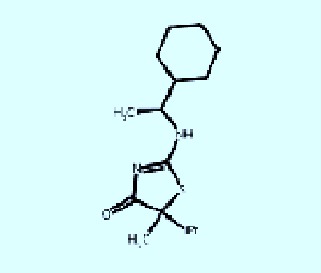 CC(C)C1(C)SC(N[C@@H](C)C2CCCCC2)=NC1=O